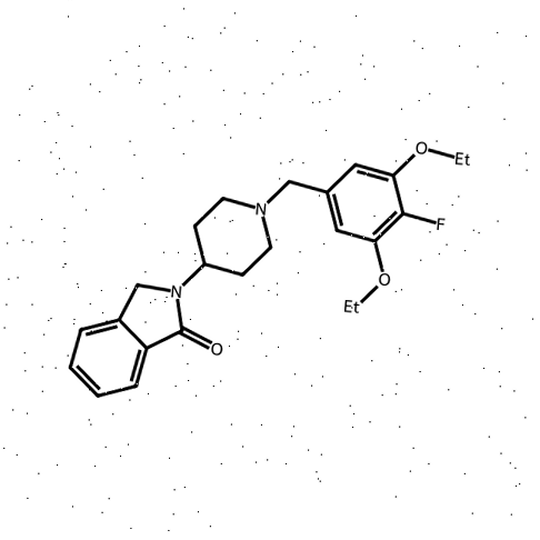 CCOc1cc(CN2CCC(N3Cc4ccccc4C3=O)CC2)cc(OCC)c1F